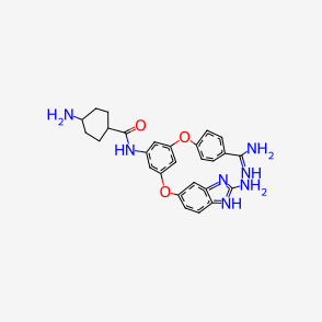 N=C(N)c1ccc(Oc2cc(NC(=O)C3CCC(N)CC3)cc(Oc3ccc4[nH]c(N)nc4c3)c2)cc1